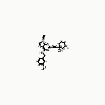 C#Cn1cnc2c(NCc3cccc(OC)c3)nc(C#C[C@]3(O)CCC[C@@H](C)C3)nc21